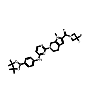 Cn1c(C(=O)N2CC(F)(F)C2)cc2c1CN(c1nccc(Nc3ccc(B4OC(C)(C)C(C)(C)O4)cc3)n1)CC2